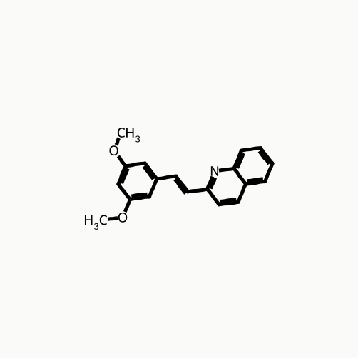 COc1cc(C=Cc2ccc3ccccc3n2)cc(OC)c1